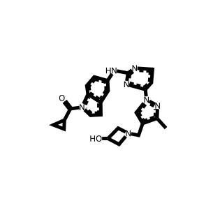 Cc1nn(-c2ccnc(Nc3ccc4c(ccn4C(=O)C4CC4)c3)n2)cc1CN1CC(O)C1